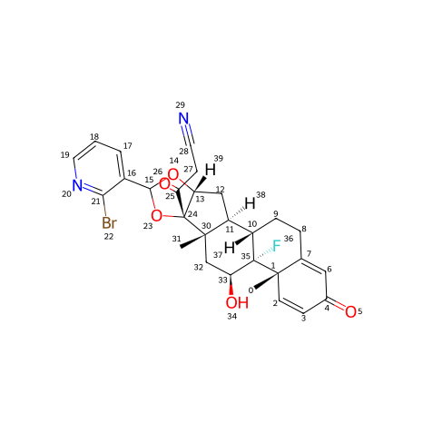 C[C@]12C=CC(=O)C=C1CC[C@H]1[C@@H]3C[C@H]4OC(c5cccnc5Br)O[C@@]4(C(=O)CC#N)[C@@]3(C)C[C@H](O)[C@@]12F